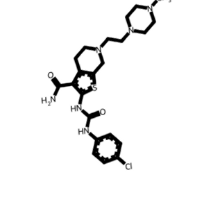 CN1CCN(CCN2CCc3c(sc(NC(=O)Nc4ccc(Cl)cc4)c3C(N)=O)C2)CC1